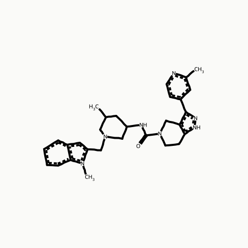 Cc1cc(-c2n[nH]c3c2CN(C(=O)NC2CC(C)CN(Cc4cc5ccccc5n4C)C2)CC3)ccn1